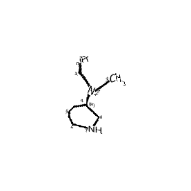 CC(C)CN(C)[C@@H]1CCNC1